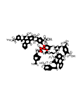 Cn1c(=O)c(C(=O)c2cccc(S(=O)(=O)O)c2)c2c3c(c(Nc4cc(Nc5nc(NCCNc6nc(Nc7cc(Nc8ccc9c%10c8C(=O)c8ccccc8-c%10c(C(=O)c8cccc(S(=O)(=O)O)c8)c(=O)n9C)c(S(=O)(=O)O)cc7S(=O)(=O)O)nc(Oc7ccc(C(=O)O)cc7)n6)nc(Oc6ccc(C(=O)O)cc6)n5)c(S(=O)(=O)O)cc4S(=O)(=O)O)ccc31)C(=O)c1ccccc1-2